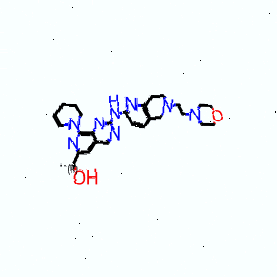 C[C@@H](O)c1cc2cnc(Nc3ccc4c(n3)CCN(CCN3CCOCC3)C4)nc2c(N2CCCCC2)n1